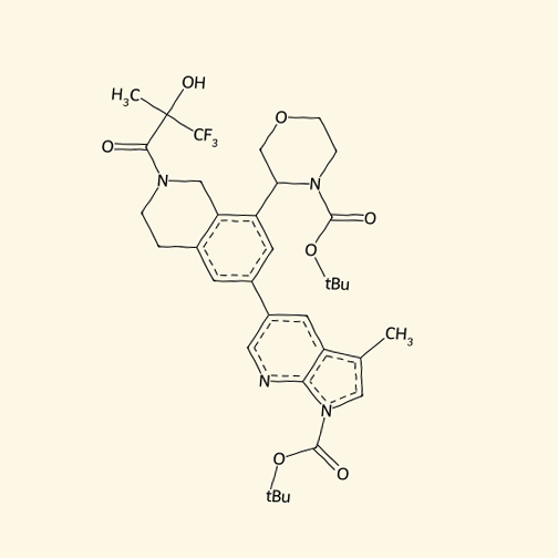 Cc1cn(C(=O)OC(C)(C)C)c2ncc(-c3cc4c(c(C5COCCN5C(=O)OC(C)(C)C)c3)CN(C(=O)C(C)(O)C(F)(F)F)CC4)cc12